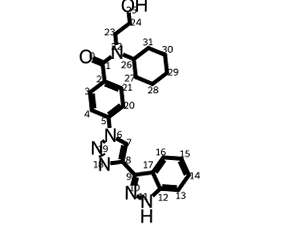 O=C(c1ccc(-n2cc(-c3n[nH]c4ccccc34)nn2)cc1)N(CCO)C1CCCCC1